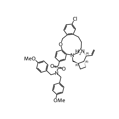 C=C[C@@H](N)[C@@H]1CC[C@H]1CN1CCCCc2cc(Cl)ccc2COc2ccc(S(=O)(=O)N(Cc3ccc(OC)cc3)Cc3ccc(OC)cc3)cc21